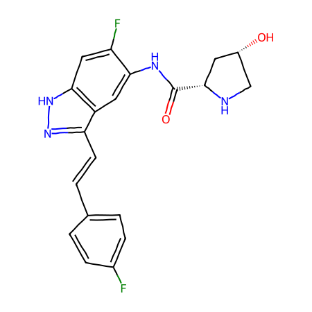 O=C(Nc1cc2c(/C=C/c3ccc(F)cc3)n[nH]c2cc1F)[C@@H]1C[C@H](O)CN1